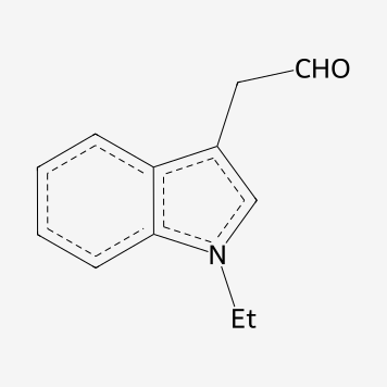 CCn1cc(CC=O)c2ccccc21